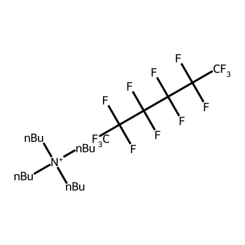 CCCC[N+](CCCC)(CCCC)CCCC.FC(F)(F)C(F)(F)C(F)(F)C(F)(F)C(F)(F)C(F)(F)F